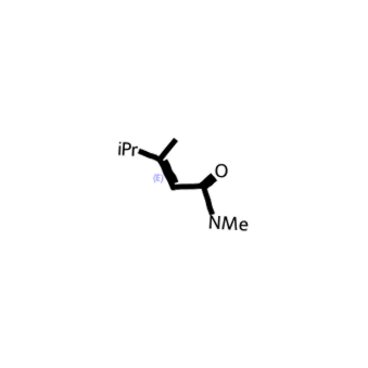 CNC(=O)/C=C(\C)C(C)C